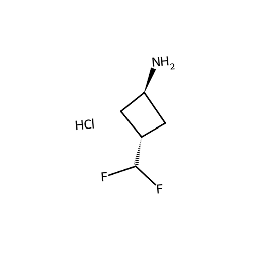 Cl.N[C@H]1C[C@H](C(F)F)C1